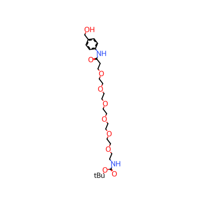 CC(C)(C)OC(=O)NCCOCCOCCOCCOCCOCCOCCC(=O)Nc1ccc(CO)cc1